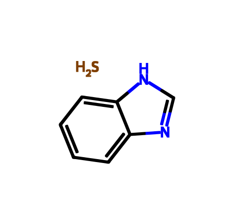 S.c1ccc2[nH]cnc2c1